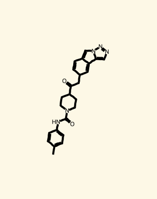 Cc1ccc(NC(=O)N2CCC(C(=O)CC3C=Cc4cn5nncc5c4=C3)CC2)cc1